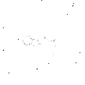 O=C(C1CCCCC1)N1CCc2c(sc3ncnc(Cl)c23)C1